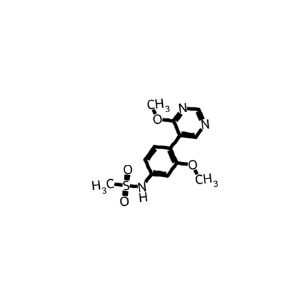 COc1cc(NS(C)(=O)=O)ccc1-c1cncnc1OC